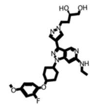 CCNc1cc2c(cn1)c(-c1cnn(CC[C@@H](O)CO)c1)nn2C1CCC(Oc2ccc(OC)cc2F)CC1